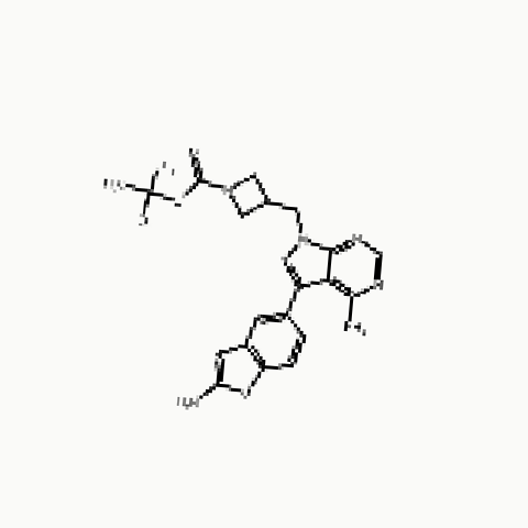 CCC(C)(C)OC(=O)N1CC(Cn2nc(-c3ccc4oc(N)nc4c3)c3c(N)ncnc32)C1